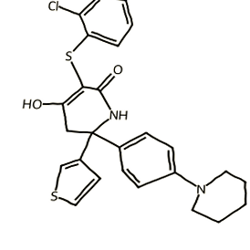 O=C1NC(c2ccc(N3CCCCC3)cc2)(c2ccsc2)CC(O)=C1Sc1ccccc1Cl